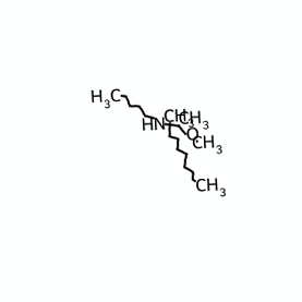 CCCCCCCCC(C)(NCCCCCC)C(C)COC